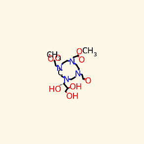 COC(=O)CN1CCN(CC=O)CCN([C@@H](CO)C(O)CO)CCN(CC(=O)OC)CC1